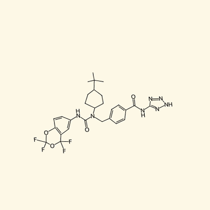 CC(C)(C)C1CCC(N(Cc2ccc(C(=O)Nc3nn[nH]n3)cc2)C(=O)Nc2ccc3c(c2)C(F)(F)OC(F)(F)O3)CC1